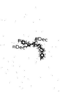 CCCCCCCCCCCCc1cc(-c2cc(CCCCCCCCCCCC)c(-c3ccc(-c4ccc(-c5ccc(F)cc5)s4)s3)s2)sc1-c1ccc(F)cc1